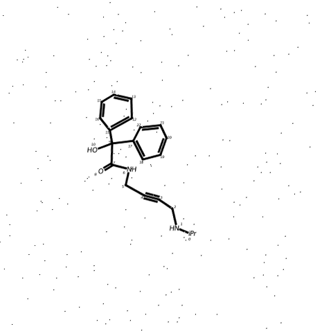 CC(C)NCC#CCNC(=O)C(O)(c1ccccc1)c1ccccc1